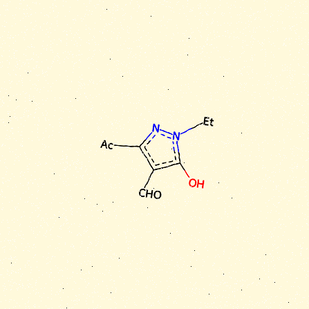 CCn1nc(C(C)=O)c(C=O)c1O